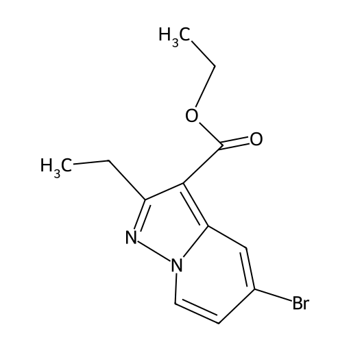 CCOC(=O)c1c(CC)nn2ccc(Br)cc12